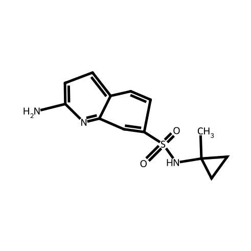 CC1(NS(=O)(=O)c2ccc3ccc(N)nc3c2)CC1